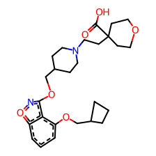 O=C(O)C1(CCN2CCC(COc3noc4cccc(OCC5CCC5)c34)CC2)CCOCC1